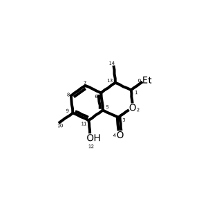 CCC1OC(=O)c2c(ccc(C)c2O)C1C